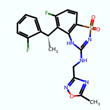 Cc1nc(CNC2=NS(=O)(=O)c3ccc(F)c([C@H](C)c4ccccc4F)c3N2)no1